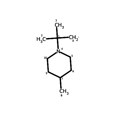 [CH2]C(C)(C)N1CCC(C)CC1